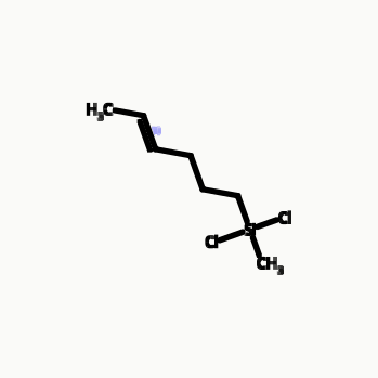 C/C=C/CCC[Si](C)(Cl)Cl